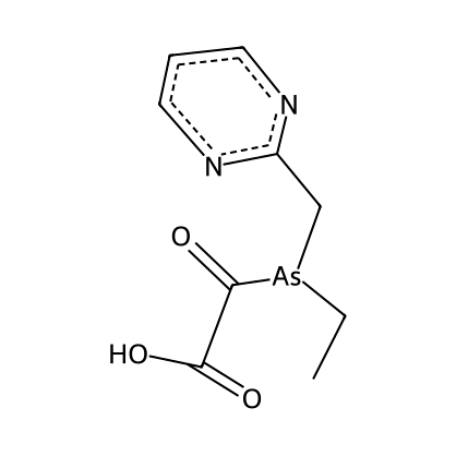 CC[As](Cc1ncccn1)C(=O)C(=O)O